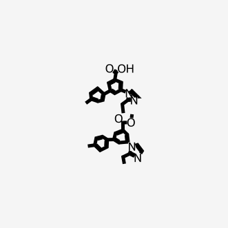 CCc1nccn1-c1cc(C(=O)O)cc(-c2ccc(C)cc2)c1.CCc1nccn1-c1cc(C(=O)OC)cc(-c2ccc(C)cc2)c1